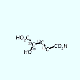 O=[13C](O)[13CH2][13CH2][13C@@H](O)[13C](=O)O